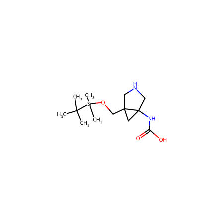 CC(C)(C)[Si](C)(C)OCC12CNCC1(NC(=O)O)C2